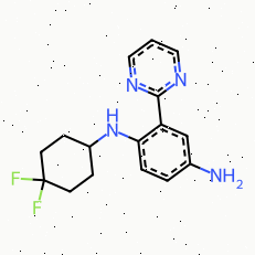 Nc1ccc(NC2CCC(F)(F)CC2)c(-c2ncccn2)c1